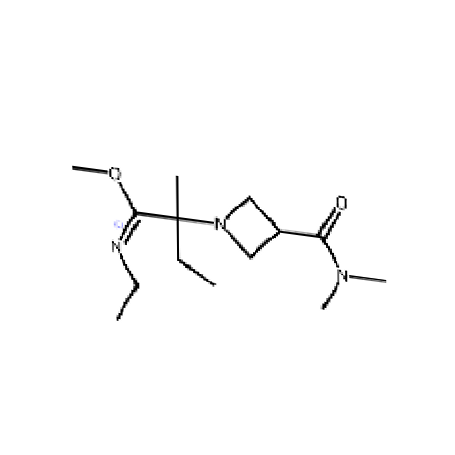 CC/N=C(/OC)C(C)(CC)N1CC(C(=O)N(C)C)C1